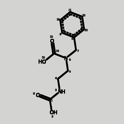 O=C(O)NCCN(Cc1ccccc1)C(=O)O